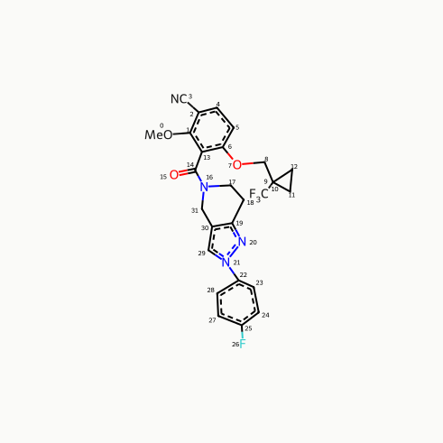 COc1c(C#N)ccc(OCC2(C(F)(F)F)CC2)c1C(=O)N1CCc2nn(-c3ccc(F)cc3)cc2C1